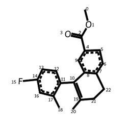 COC(=O)c1ccc2c(c1)C(c1ccc(F)cc1C)=C(C)CC2